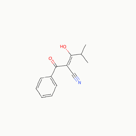 CC(C)/C(O)=C(\C#N)C(=O)c1ccccc1